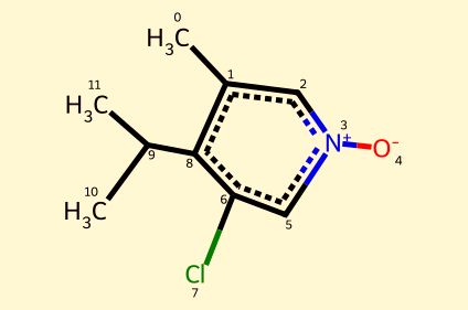 Cc1c[n+]([O-])cc(Cl)c1C(C)C